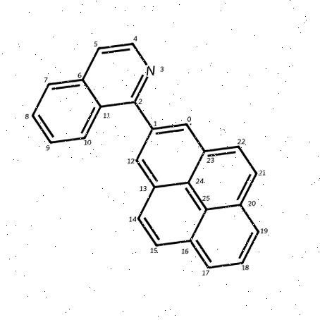 [c]1c(-c2nccc3ccccc23)cc2ccc3cccc4ccc1c2c43